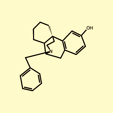 Oc1ccc2c(c1)[C@]13CCCCC1C(C2)N(Cc1ccccc1)CC3